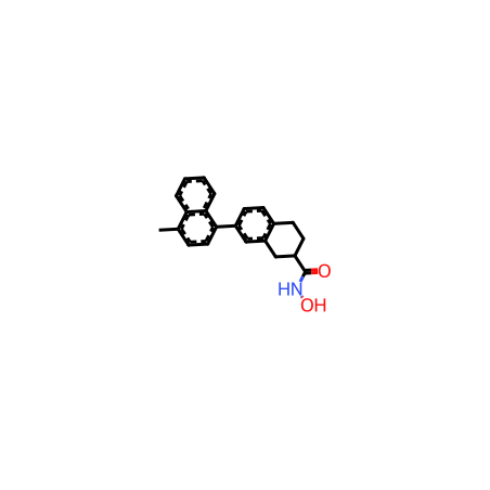 Cc1ccc(-c2ccc3c(c2)CC(C(=O)NO)CC3)c2ccccc12